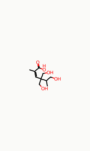 CC(=CC(CO)(CO)C(C)CO)C(=O)O